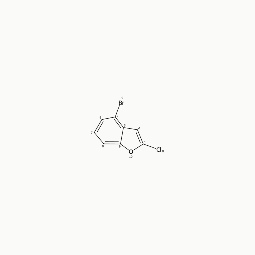 Clc1cc2c(Br)cccc2o1